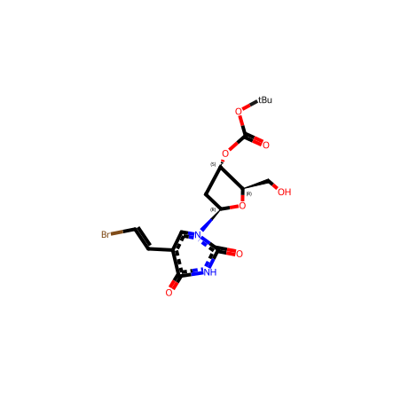 CC(C)(C)OC(=O)O[C@H]1C[C@H](n2cc(C=CBr)c(=O)[nH]c2=O)O[C@@H]1CO